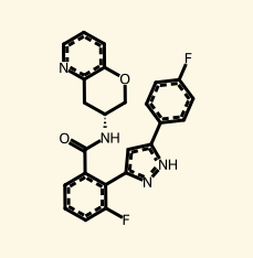 O=C(N[C@H]1COc2cccnc2C1)c1cccc(F)c1-c1cc(-c2ccc(F)cc2)[nH]n1